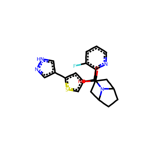 O=C(c1csc(-c2cn[nH]c2)c1)N1C2CCC1CC(O)(c1ncccc1F)C2